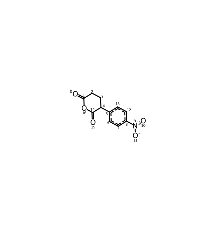 O=C1CCC(c2ccc([N+](=O)[O-])cc2)C(=O)O1